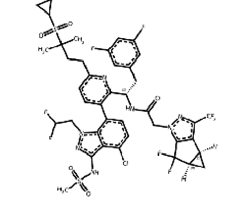 CC(C)(CCc1ccc(-c2ccc(Cl)c3c(NS(C)(=O)=O)nn(CC(F)F)c23)c([C@H](Cc2cc(F)cc(F)c2)NC(=O)Cn2nc(C(F)(F)F)c3c2C(F)(F)[C@@H]2C[C@H]32)n1)S(=O)(=O)C1CC1